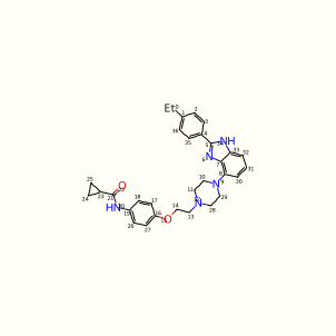 CCc1ccc(-c2nc3c(N4CCN(CCOc5ccc(NC(=O)C6CC6)cc5)CC4)cccc3[nH]2)cc1